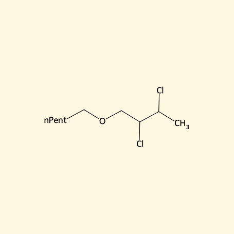 [CH2]CCCCCOCC(Cl)C(C)Cl